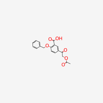 CC(=O)OCC(=O)c1ccc(OCc2ccccc2)c(C(=O)O)c1